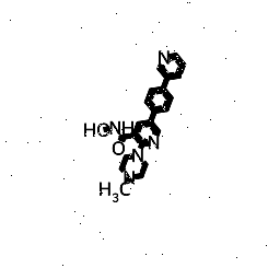 CN1CCN(c2ncc(-c3ccc(-c4cccnc4)cc3)cc2C(=O)NO)CC1